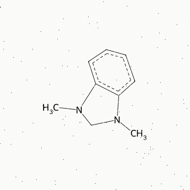 CN1CN(C)c2ccccc21